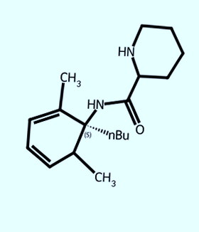 CCCC[C@@]1(NC(=O)C2CCCCN2)C(C)=CC=CC1C